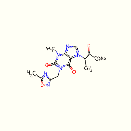 COC(=O)C(C)n1cnc2c1c(=O)n(Cc1noc(C)n1)c(=O)n2C